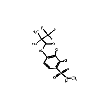 CNS(=O)(=O)c1ccc(NC(=O)C(C)(O)C(F)(F)F)c(Cl)c1Cl